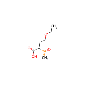 CCOCCC(C(=O)O)[PH](C)=O